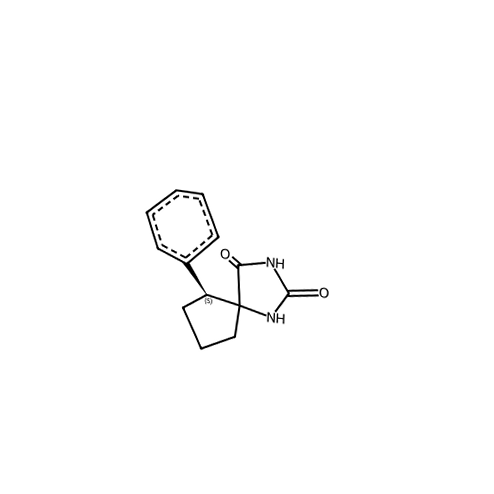 O=C1NC(=O)C2(CCC[C@H]2c2ccccc2)N1